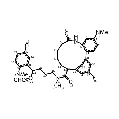 CNc1ccc2c(c1)NC(=O)CCCCC(C(=O)N(C)CCCC(OC=O)c1cc(Cl)ccc1NC)c1cc(F)cc-2c1